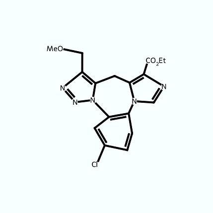 CCOC(=O)c1ncn2c1Cc1c(COC)nnn1-c1cc(Cl)ccc1-2